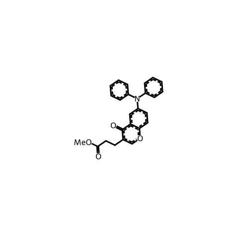 COC(=O)CCc1coc2ccc(N(c3ccccc3)c3ccccc3)cc2c1=O